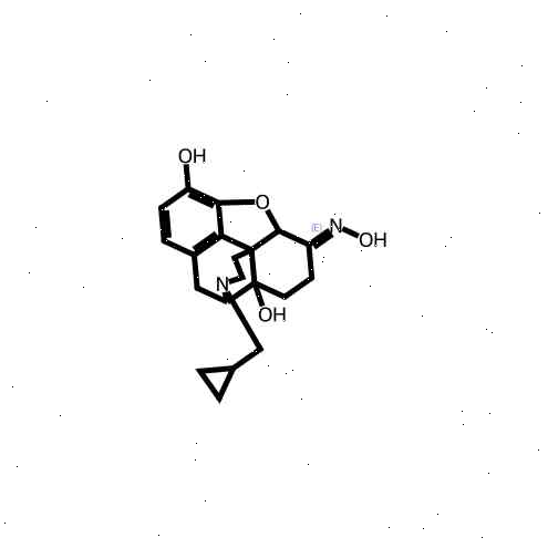 O/N=C1\CCC2(O)C3Cc4ccc(O)c5c4C2(CCN3CC2CC2)C1O5